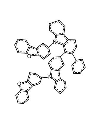 c1ccc(-c2ccc3c4ccccc4n(-c4ccc5oc6ccccc6c5c4)c3c2-c2ccc3c(c2)c2ccccc2n3-c2ccc3oc4ccccc4c3c2)cc1